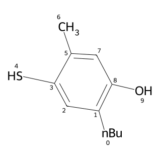 CCCCc1cc(S)c(C)cc1O